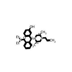 C=CCN1C[C@@H](C)N([C@@H](c2cccc(O)c2)c2ccccc2C(=O)N(CC)CC)C[C@H]1C